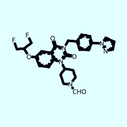 O=CN1CCC(n2c(=O)n(Cc3ccc(-n4cccn4)cc3)c(=O)c3cc(OC(CF)CF)ccc32)CC1